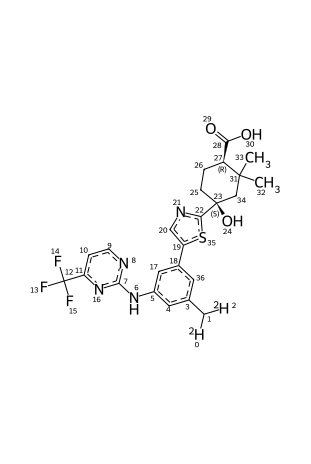 [2H]C([2H])c1cc(Nc2nccc(C(F)(F)F)n2)cc(-c2cnc([C@]3(O)CC[C@@H](C(=O)O)C(C)(C)C3)s2)c1